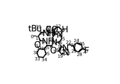 C[C@H](C(=O)N[C@H](C(=O)N1C[C@H]2CCCN2C[C@H]1c1ccnn1Cc1ccc(F)cc1)C1CCCCC1)C(NC(=O)O)C(C)(C)C